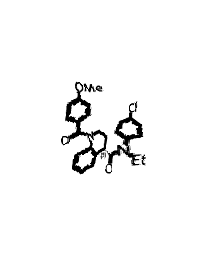 CCN(C(=O)[C@H]1CCN(C(=O)c2ccc(OC)cc2)c2ccccc21)c1ccc(Cl)cc1